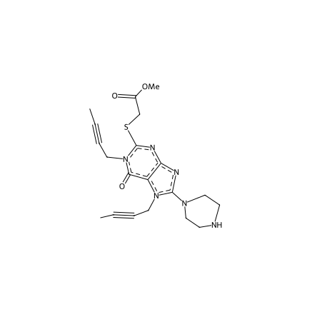 CC#CCn1c(SCC(=O)OC)nc2nc(N3CCNCC3)n(CC#CC)c2c1=O